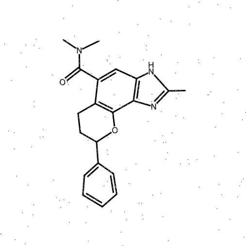 Cc1nc2c3c(c(C(=O)N(C)C)cc2[nH]1)CCC(c1ccccc1)O3